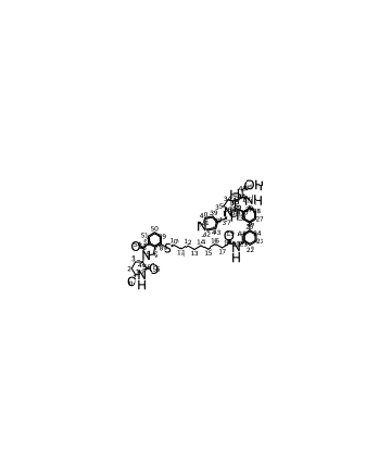 O=C1CCC(N2Cc3c(SCCCCCCCCC(=O)Nc4cccc(-c5ccc6c(c5)[C@H]5[C@H](CCN5Cc5ccncc5)[C@@H](CO)N6)c4)cccc3C2=O)C(=O)N1